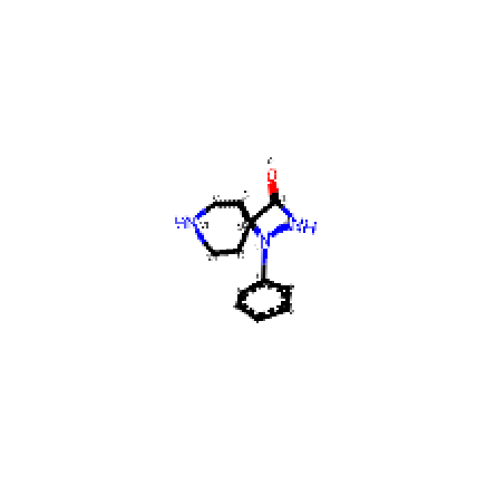 O=C1NN(c2ccccc2)C12CCNCC2